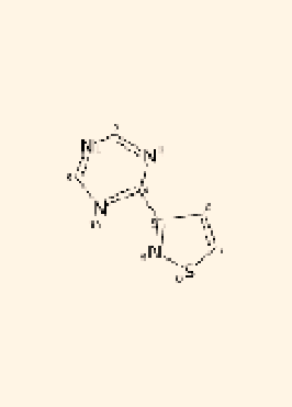 c1ncnc(-c2ccsn2)n1